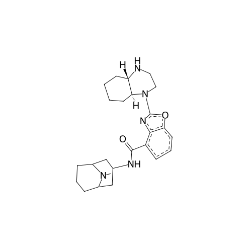 CN1C2CCCC1CC(NC(=O)c1cccc3oc(N4CCN[C@H]5CCCC[C@@H]54)nc13)C2